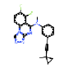 CN(c1cccc(C#CC2(C)CC2)c1)c1nc2nncn2c2ccc(F)c(F)c12